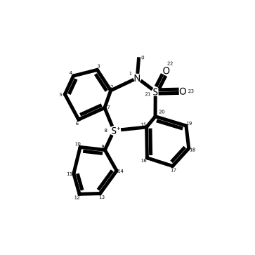 CN1c2ccccc2[S+](c2ccccc2)c2ccccc2S1(=O)=O